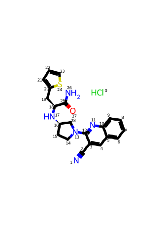 Cl.N#Cc1cc2ccccc2nc1N1CC[C@H](N[C@@H](Cc2cccs2)C(N)=O)C1